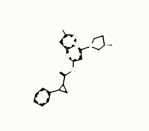 Cc1cc2nc(NC(=O)C3CC3c3ccccc3)cc(N3CC[C@@H](F)C3)n2n1